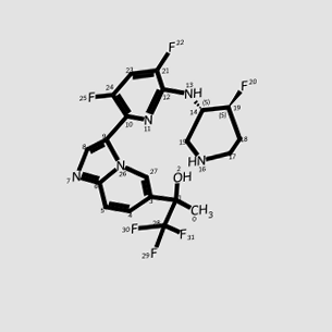 CC(O)(c1ccc2ncc(-c3nc(N[C@H]4CNCC[C@@H]4F)c(F)cc3F)n2c1)C(F)(F)F